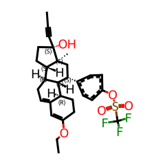 CC#C[C@]1(O)CC[C@H]2[C@@H]3CC=C4C=C(OCC)CC[C@@H]4[C@H]3[C@@H](c3ccc(OS(=O)(=O)C(F)(F)F)cc3)C[C@@]21C